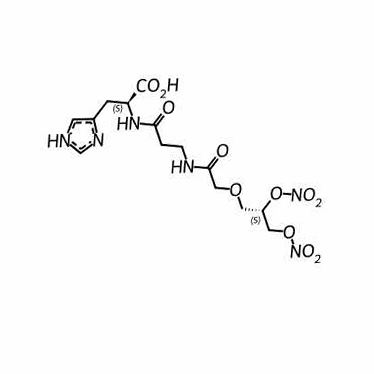 O=C(COC[C@@H](CO[N+](=O)[O-])O[N+](=O)[O-])NCCC(=O)N[C@@H](Cc1c[nH]cn1)C(=O)O